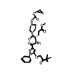 COC(=O)CC[C@H](NC(=O)c1cc(OCC(=O)C(C)(C)C)n(-c2ccccc2)n1)C(=O)N1CCN(OC(=O)OC2CC2)CC1